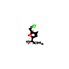 CC(C)c1ccc(CCl)o1